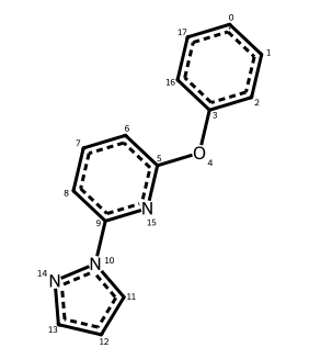 [c]1ccc(Oc2cccc(-n3cccn3)n2)cc1